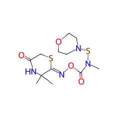 CN(SN1CCOCC1)C(=O)ON=C1SCC(=O)NC1(C)C